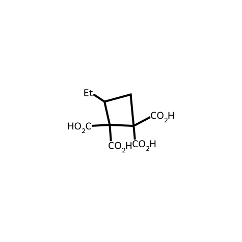 CCC1CC(C(=O)O)(C(=O)O)C1(C(=O)O)C(=O)O